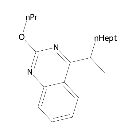 CCCCCCCC(C)c1nc(OCCC)nc2ccccc12